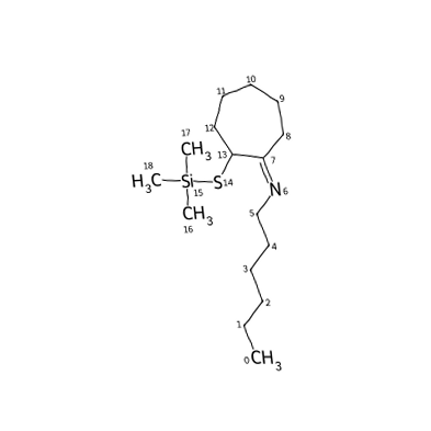 CCCCCCN=C1CCCCCC1S[Si](C)(C)C